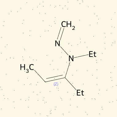 C=NN(CC)/C(=C\C)CC